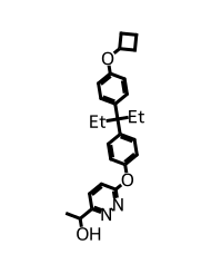 CCC(CC)(c1ccc(Oc2ccc(C(C)O)nn2)cc1)c1ccc(OC2CCC2)cc1